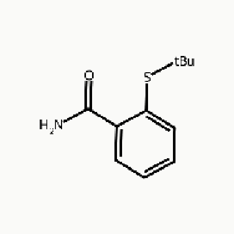 CC(C)(C)Sc1ccccc1C(N)=O